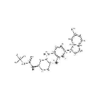 CC(C)(C)OC(=O)N[C@H]1CC[C@H](Nc2nc(-c3cnc4ccc(F)cn34)ncc2N)CC1